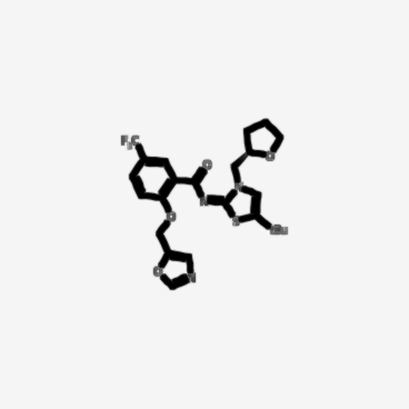 CC(C)(C)c1cn(C[C@H]2CCCO2)c(=NC(=O)c2cc(C(F)(F)F)ccc2OCc2cnco2)s1